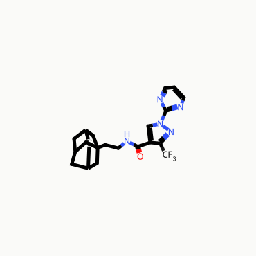 O=C(NCCC12CC3CC(CC(C3)C1)C2)c1cn(-c2ncccn2)nc1C(F)(F)F